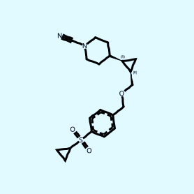 N#CN1CCC([C@H]2C[C@H]2COCc2ccc(S(=O)(=O)C3CC3)cc2)CC1